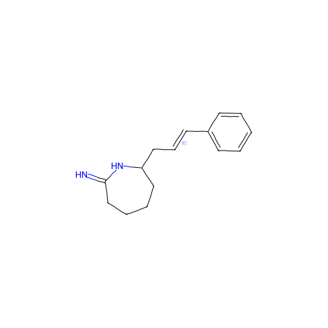 N=C1CCCCC(C/C=C/c2ccccc2)N1